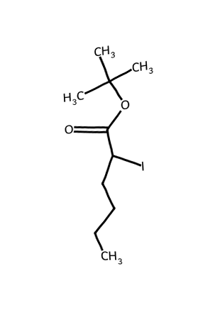 CCCCC(I)C(=O)OC(C)(C)C